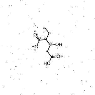 CCC(C(=O)O)C(O)CC(=O)O